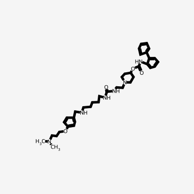 CN(C)CCCOc1ccc(CNCCCCCNC(=O)NCCN2CCC(OC(=O)Nc3ccccc3-c3ccccc3)CC2)cc1